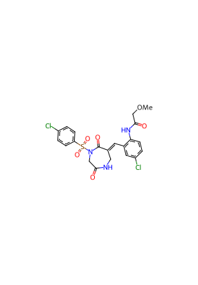 COCC(=O)Nc1ccc(Cl)cc1/C=C1\CNC(=O)CN(S(=O)(=O)c2ccc(Cl)cc2)C1=O